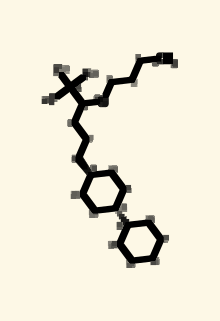 CCCCOC(CCC[C@H]1CC[C@H](C2CCCCC2)CC1)C(F)(F)F